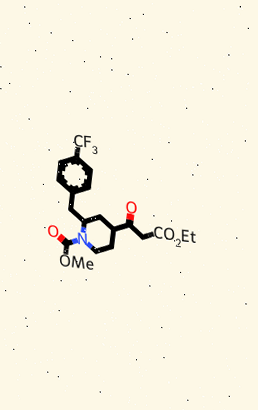 CCOC(=O)CC(=O)C1CCN(C(=O)OC)C(Cc2ccc(C(F)(F)F)cc2)C1